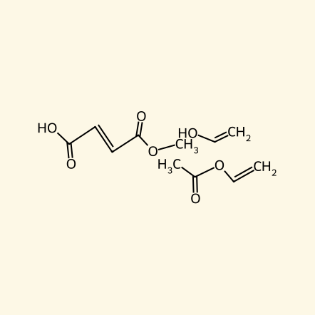 C=CO.C=COC(C)=O.COC(=O)C=CC(=O)O